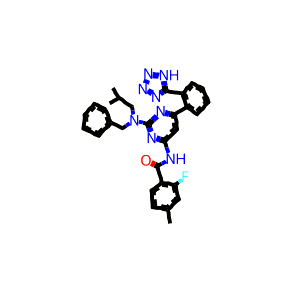 Cc1ccc(C(=O)Nc2cc(-c3ccccc3-c3nnn[nH]3)nc(N(Cc3ccccc3)CC(C)C)n2)c(F)c1